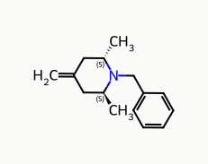 C=C1C[C@H](C)N(Cc2ccccc2)[C@@H](C)C1